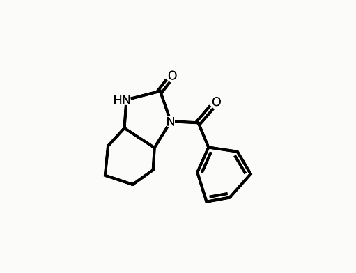 O=C1NC2CCCCC2N1C(=O)c1ccccc1